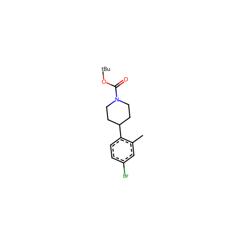 Cc1cc(Br)ccc1C1CCN(C(=O)OC(C)(C)C)CC1